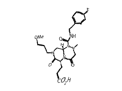 COCCCN1C[C@H]2N(C(=O)CN(C)N2C(=O)NCc2ccc(F)cc2)[C@@H](CCC(=O)O)C1=O